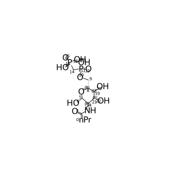 CCCC(=O)N[C@H]1C(O)O[C@H](COP(=O)(O)CP(=O)(O)O)[C@@H](O)[C@@H]1O